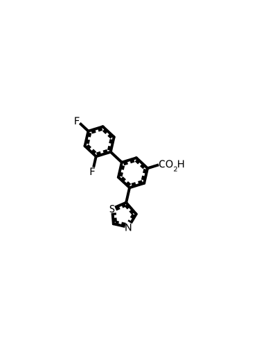 O=C(O)c1cc(-c2cncs2)cc(-c2ccc(F)cc2F)c1